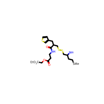 CCOC(=O)COC(=O)CCNC(=O)C(CSSCC([NH])CCSC)Cc1ccsc1